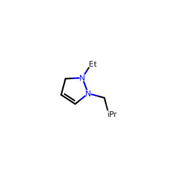 CCN1CC=CN1CC(C)C